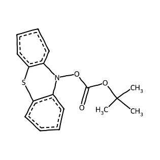 CC(C)(C)OC(=O)ON1c2ccccc2Sc2ccccc21